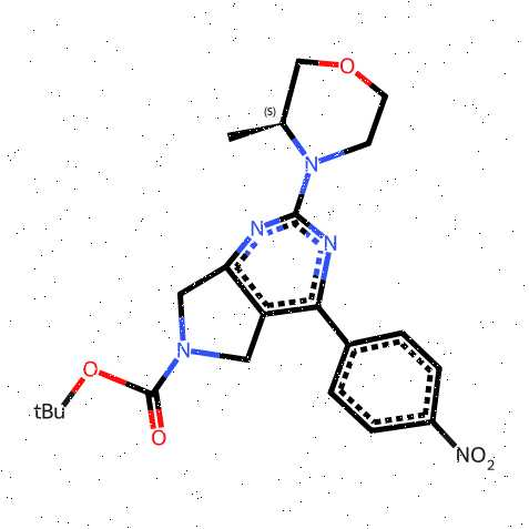 C[C@H]1COCCN1c1nc2c(c(-c3ccc([N+](=O)[O-])cc3)n1)CN(C(=O)OC(C)(C)C)C2